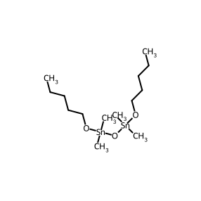 CCCCC[O][Sn]([CH3])([CH3])[O][Sn]([CH3])([CH3])[O]CCCCC